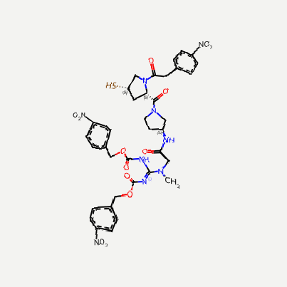 CN(CC(=O)N[C@H]1CCN(C(=O)[C@@H]2C[C@H](S)CN2C(=O)Cc2ccc([N+](=O)[O-])cc2)C1)/C(=N/C(=O)OCc1ccc([N+](=O)[O-])cc1)NC(=O)OCc1ccc([N+](=O)[O-])cc1